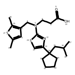 Cc1cc(CN(CCC(=O)O)c2nc(C3(CC(C)C)CCCC3)cs2)c(C)s1